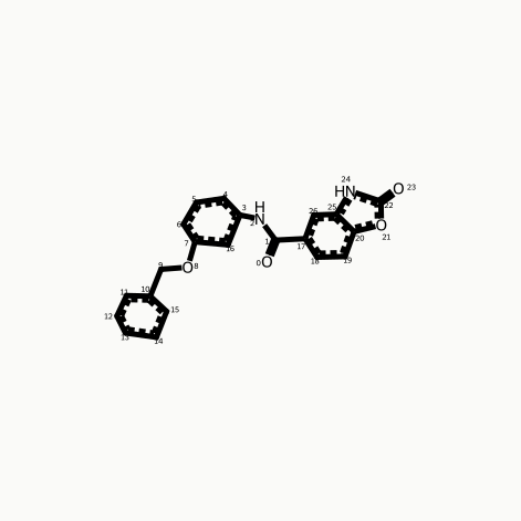 O=C(Nc1cccc(OCc2ccccc2)c1)c1ccc2oc(=O)[nH]c2c1